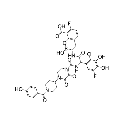 O=C(O)c1c(F)ccc2c1OB(O)[C@@H](NC(=O)C(NC(=O)N1CCN(C3CCN(C(=O)c4ccc(O)cc4)CC3)C(=O)C1=O)c1cc(F)c(O)c(O)c1Cl)C2